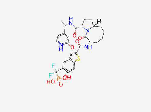 CC(NC(=O)[C@@H]1CC[C@@H]2CCCC[C@H](NC(=O)c3cc4cc(C(F)(F)P(=O)(O)O)ccc4s3)C(=O)N21)c1cc[nH]c(=O)c1